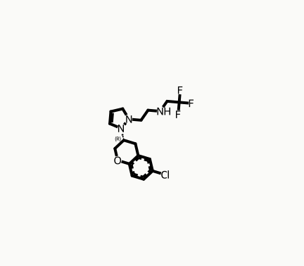 FC(F)(F)CNCCN1CC=CN1[C@H]1COc2ccc(Cl)cc2C1